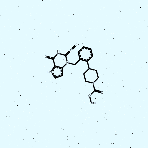 CC(C)(C)OC(=O)N1CCC(c2ccccc2CN2C(=C=S)NC(=O)c3[nH]ccc32)CC1